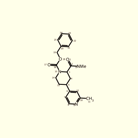 CNC(=O)C1CC(c2ccnc(C)c2)CCN1C(=O)OCc1ccccc1